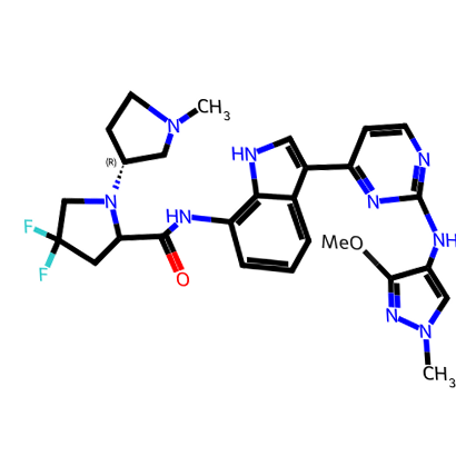 COc1nn(C)cc1Nc1nccc(-c2c[nH]c3c(NC(=O)C4CC(F)(F)CN4[C@@H]4CCN(C)C4)cccc23)n1